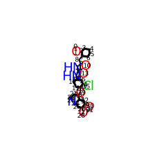 COc1ccccc1CC(=O)NC(=O)Nc1ccc(Oc2ccnc3cc(OC)c(OC)cc23)c(Cl)c1